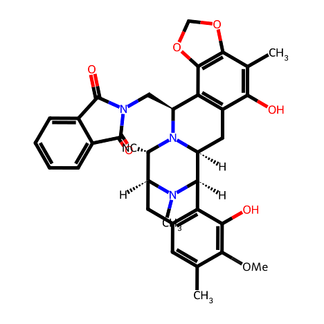 COc1c(C)cc2c(c1O)[C@@H]1[C@@H]3Cc4c(O)c(C)c5c(c4[C@H](CN4C(=O)c6ccccc6C4=O)N3[C@@H](C#N)[C@H](C2)N1C)OCO5